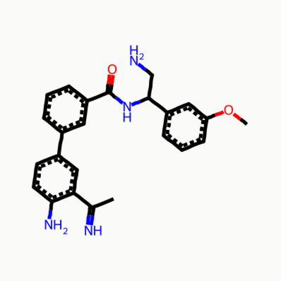 COc1cccc(C(CN)NC(=O)c2cccc(-c3ccc(N)c(C(C)=N)c3)c2)c1